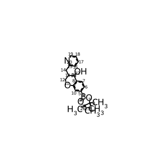 CC1(C)OB(c2ccc3c(c2)OCC(Cc2ccccn2)[C@H]3O)OC1(C)C